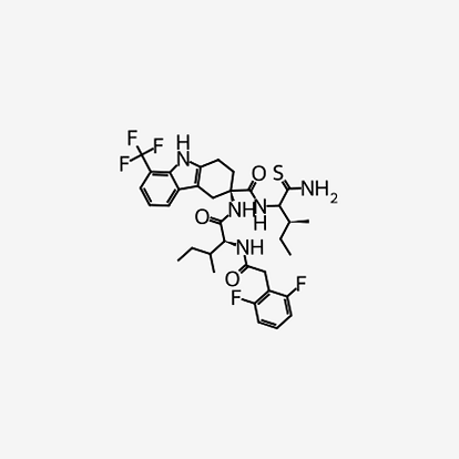 CCC(C)[C@H](NC(=O)Cc1c(F)cccc1F)C(=O)N[C@]1(C(=O)NC(C(N)=S)[C@@H](C)CC)CCc2[nH]c3c(C(F)(F)F)cccc3c2C1